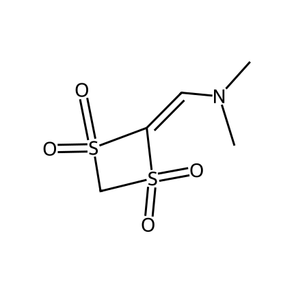 CN(C)C=C1S(=O)(=O)CS1(=O)=O